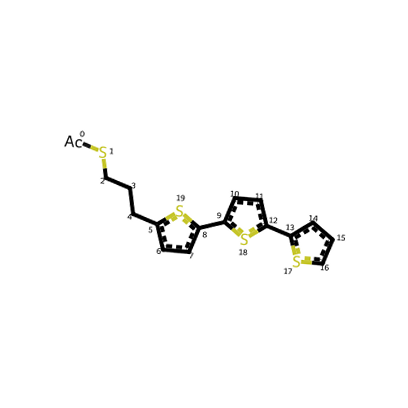 CC(=O)SCCCc1ccc(-c2ccc(-c3cccs3)s2)s1